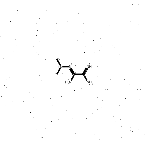 CN(C)/N=C(\N)C(=N)N